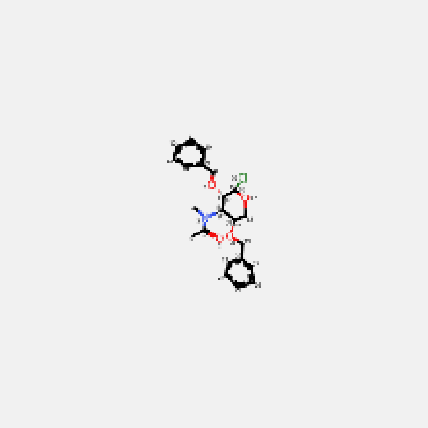 CC(=O)N(C)[C@H]1[C@H](OCc2ccccc2)[C@@H](Cl)OC[C@H]1OCc1ccccc1